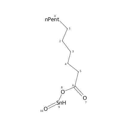 CCCCCCCCCCC(=O)[O][SnH]=[O]